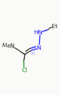 CCN/N=C(/Cl)NC